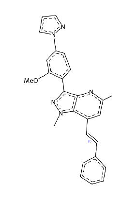 COc1cc(-n2cccn2)ccc1-c1nn(C)c2c(/C=C/c3ccccc3)cc(C)nc12